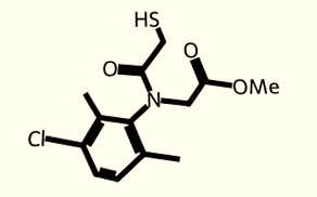 COC(=O)CN(C(=O)CS)c1c(C)ccc(Cl)c1C